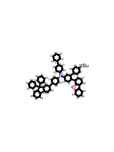 CC(C)(C)c1ccc(-c2cc(N(c3ccc(-c4ccccc4)cc3)c3ccc(-c4ccc5c(c4)C(c4ccccc4)(c4ccccc4)c4ccccc4-5)cc3)ccc2-c2cccc3c2oc2ccccc23)cc1